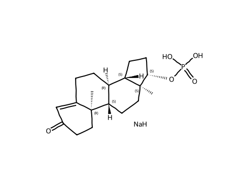 C[C@]12CC[C@H]3[C@@H](CCC4=CC(=O)CC[C@@]43C)[C@@H]1CC[C@@H]2OP(=O)(O)O.[NaH]